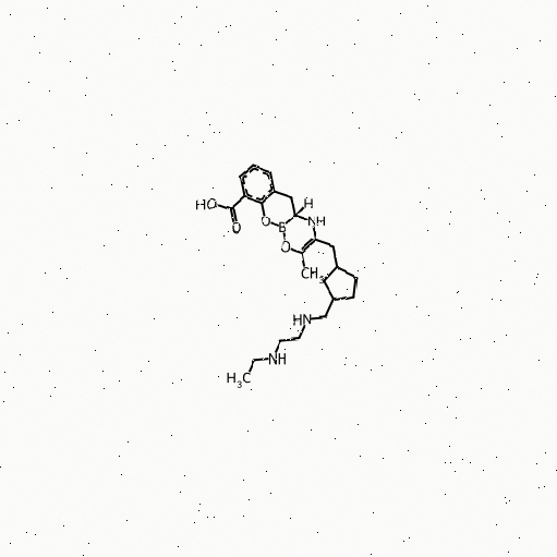 CCNCCNCC1CCC(CC2=C(C)OB3Oc4c(cccc4C(=O)O)C[C@@H]3N2)C1